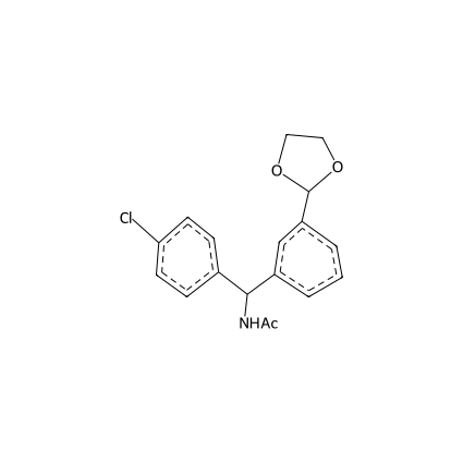 CC(=O)NC(c1ccc(Cl)cc1)c1cccc(C2OCCO2)c1